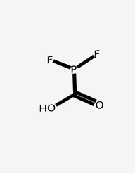 O=C(O)P(F)F